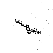 CCCCCCCCC1CCC2Cc3c(cccc3OCC(=O)O)CC12